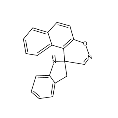 C1=NOc2ccc3ccccc3c2C12Cc1ccccc1N2